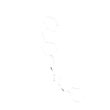 CC1(C)[C@@H](CCN2CCC(Cc3ccccc3)CC2)C[C@H]1CN1CCCCC1